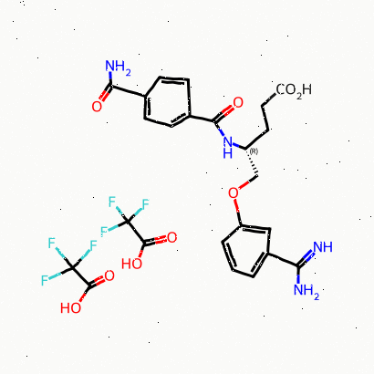 N=C(N)c1cccc(OC[C@@H](CCC(=O)O)NC(=O)c2ccc(C(N)=O)cc2)c1.O=C(O)C(F)(F)F.O=C(O)C(F)(F)F